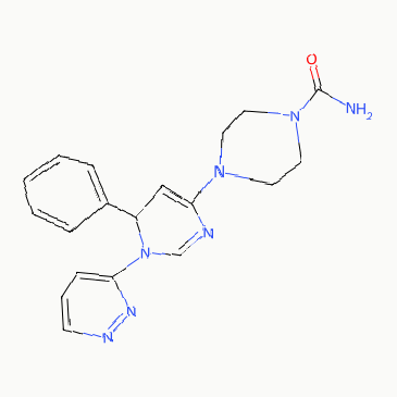 NC(=O)N1CCN(C2=CC(c3ccccc3)N(c3cccnn3)C=N2)CC1